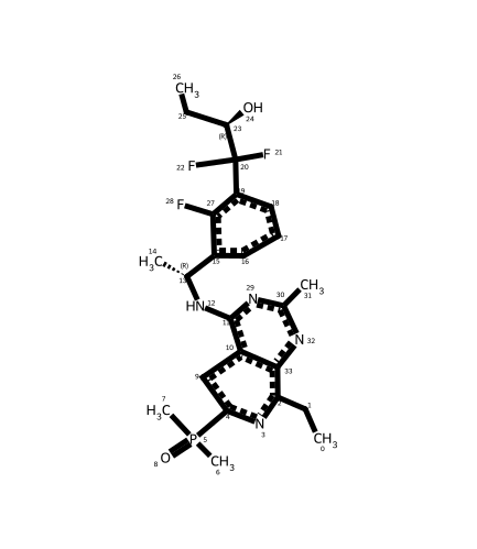 CCc1nc(P(C)(C)=O)cc2c(N[C@H](C)c3cccc(C(F)(F)[C@H](O)CC)c3F)nc(C)nc12